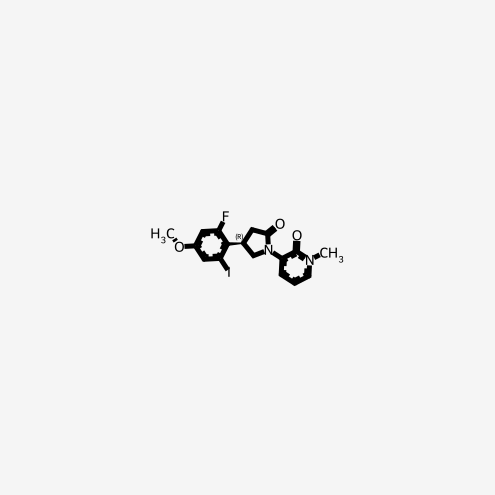 COc1cc(F)c([C@H]2CC(=O)N(c3cccn(C)c3=O)C2)c(I)c1